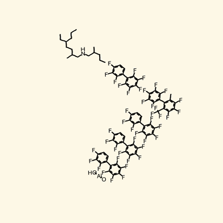 CCCC(C)CNCC(C)CCC(CC)CCC.Cc1c(F)c(F)c(F)c(C(F)(F)F)c1-c1c(F)c(F)c(F)c(F)c1F.Fc1ccc(-c2c(F)c(F)c(F)c(F)c2F)c(F)c1F.Fc1ccc(-c2c(F)c(F)c(F)c(F)c2F)c(F)c1F.Fc1ccc(-c2c(F)c(F)c(F)c(F)c2F)c(F)c1F.Fc1ccc(-c2c(F)c(F)c(F)c(F)c2F)c(F)c1F.[O]=[Al][OH]